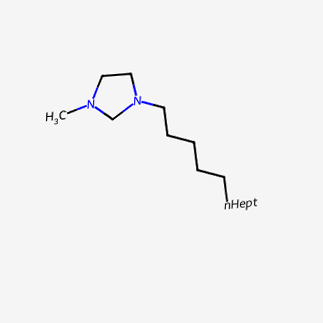 CCCCCCCCCCCCN1CCN(C)C1